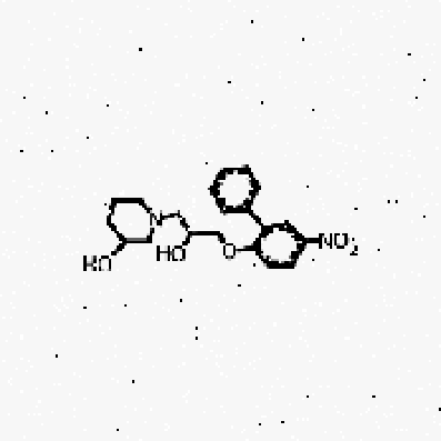 O=[N+]([O-])c1ccc(OCC(O)CN2CCCC(O)C2)c(-c2ccccc2)c1